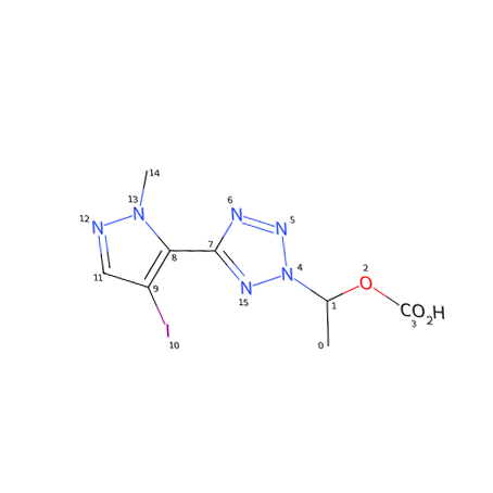 CC(OC(=O)O)n1nnc(-c2c(I)cnn2C)n1